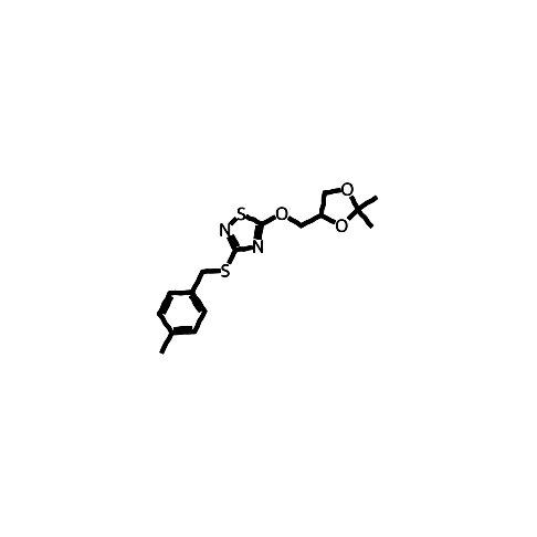 Cc1ccc(CSc2nsc(OCC3COC(C)(C)O3)n2)cc1